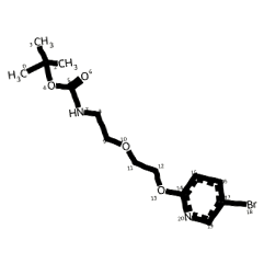 CC(C)(C)OC(=O)NCCOCCOc1ccc(Br)cn1